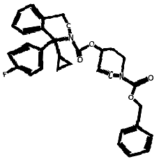 O=C(OCc1ccccc1)N1CCC(OC(=O)N2CCc3ccccc3C2(c2ccc(F)cc2)C2CC2)CC1